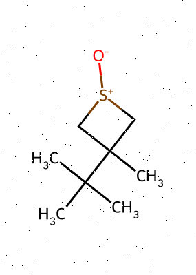 CC(C)(C)C1(C)C[S+]([O-])C1